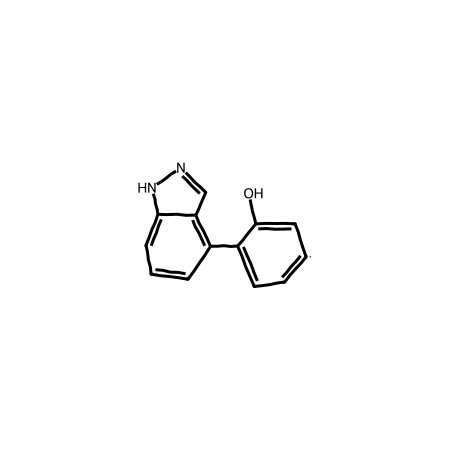 Oc1c[c]ccc1-c1cccc2[nH]ncc12